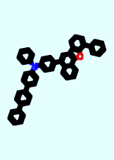 C1=CC2C(c3ccc(N(c4ccccc4)c4ccc(-c5ccc(-c6ccccc6)cc5)cc4)cc3)=Cc3c(oc4c3CCC=C4c3ccccc3)C2C=C1